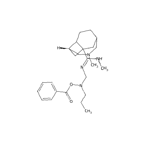 CCCN(C/N=C(\NC)C12CC3CCC1[C@H](CN(C)C3)C2)OC(=O)c1ccccc1